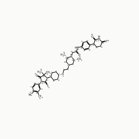 C[C@@H]1CN(CCO[C@H]2CC[C@H](N3C(=S)N(c4ccc(C#N)c(C(F)(F)F)c4)C(=O)C3(C)C)CC2)C[C@H](C)N1CC(=O)Nc1ccc(C2CCC(=O)NC2=O)cc1